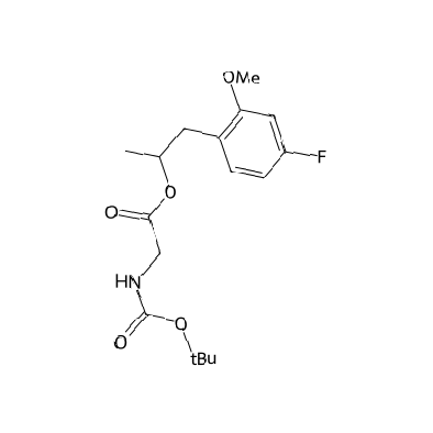 COc1cc(F)ccc1CC(C)OC(=O)CNC(=O)OC(C)(C)C